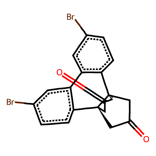 O=C1C[C@]23CC(=O)C[C@@]2(C1)c1ccc(Br)cc1-c1cc(Br)ccc13